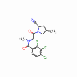 CC1CC(C#N)N(C(=O)CN(C)C(=O)c2ccc(Cl)c(F)c2F)C1